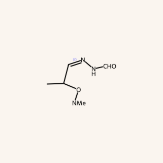 CNOC(C)/C=N\NC=O